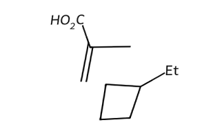 C=C(C)C(=O)O.CCC1CCC1